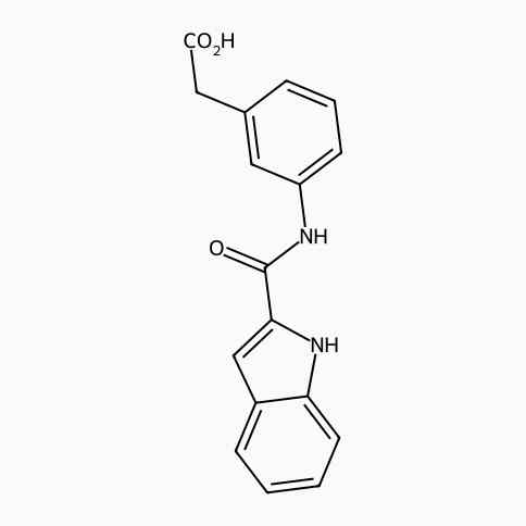 O=C(O)Cc1cccc(NC(=O)c2cc3ccccc3[nH]2)c1